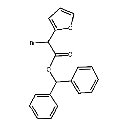 O=C(OC(c1ccccc1)c1ccccc1)C(Br)c1ccco1